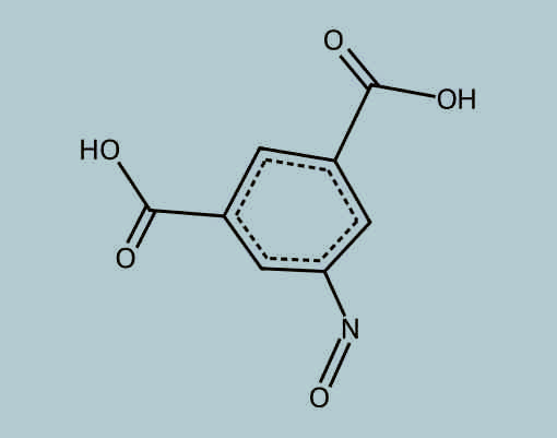 O=Nc1cc(C(=O)O)cc(C(=O)O)c1